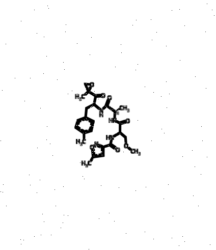 COCC(NC(=O)c1cc(C)on1)C(=O)N[C@@H](C)C(=O)NC(Cc1ccc(C)cc1)C(=O)C1(C)CO1